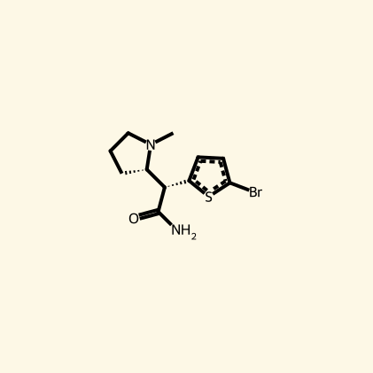 CN1CCC[C@H]1[C@@H](C(N)=O)c1ccc(Br)s1